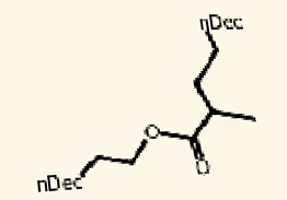 CCCCCCCCCCCCOC(=O)C(C)CCCCCCCCCCCC